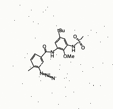 COc1c(NC(=O)c2ccc(C)c(N=[N+]=[N-])c2)cc(C(C)(C)C)cc1NS(C)(=O)=O